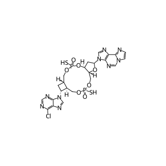 O=P1(S)OC[C@@H]2[C@@H](COP(=O)(S)O[C@H]3CC(n4cnc5c4ncn4ccnc54)O[C@@H]3CO1)C[C@H]2n1cnc2c(Cl)ncnc21